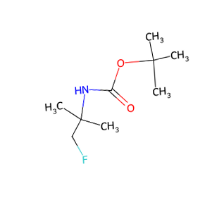 CC(C)(CF)NC(=O)OC(C)(C)C